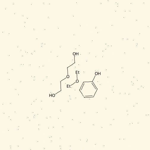 CCOCC.OCCOCCO.Oc1ccccc1